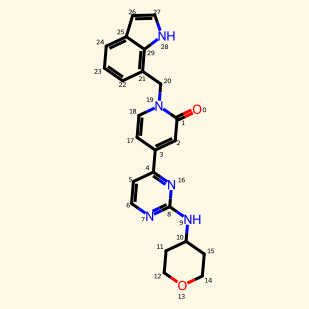 O=c1cc(-c2ccnc(NC3CCOCC3)n2)ccn1Cc1cccc2cc[nH]c12